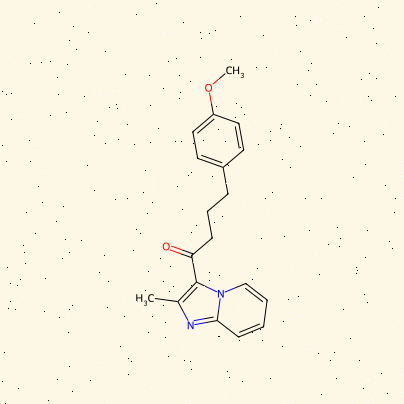 COc1ccc(CCCC(=O)c2c(C)nc3ccccn23)cc1